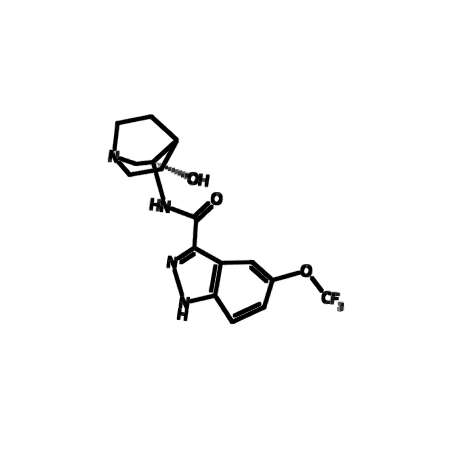 O=C(N[C@@]1(O)CN2CCC1CC2)c1n[nH]c2ccc(OC(F)(F)F)cc12